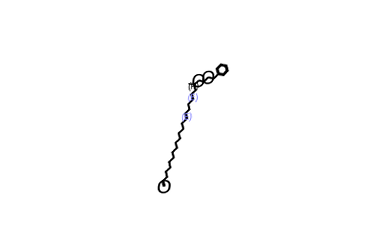 C[C@H](C/C=C/CC/C=C/CCCCCCCCCCCCC=O)OCOCc1ccccc1